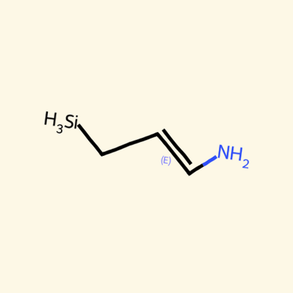 N/C=C/C[SiH3]